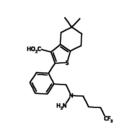 CC1(C)CCc2sc(-c3ccccc3CN(N)CCCC(F)(F)F)c(C(=O)O)c2C1